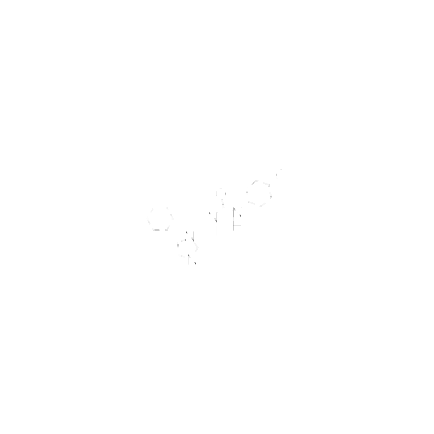 O=C(NCC1c2ccccc2-c2cncn21)Nc1ccc(Cl)cc1